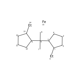 CC[C]1[CH][CH][CH][C]1C(C)(C)[C]1[CH][CH][CH][C]1CC.[Fe]